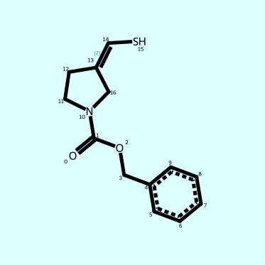 O=C(OCc1ccccc1)N1CC/C(=C/S)C1